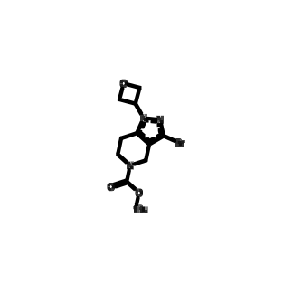 CC(C)(C)OC(=O)N1CCc2c(c(Br)nn2C2COC2)C1